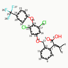 CC(C)=C(C(=O)O)c1ccccc1COc1cc(Cl)c(Oc2ccc(C(F)(F)F)cc2)c(Cl)c1